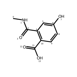 CNC(=O)c1cc(O)ccc1C(=O)O